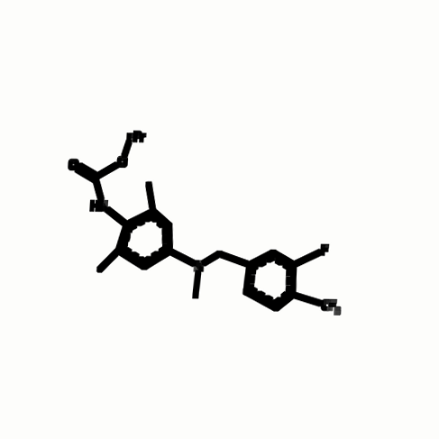 CCCOC(=O)Nc1c(C)cc(N(C)Cc2ccc(C(F)(F)F)c(F)c2)cc1C